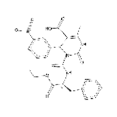 CCOC(=O)[C@H](Cc1ccccc1)NC(=O)N1C(=O)NC(C)=C(C(=O)O)C1c1cccc([N+](=O)[O-])c1